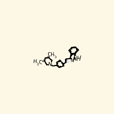 C[C@@H]1C[C@H](C)CN(Cc2ccc(/C=C/c3n[nH]c4ccccc34)cc2)C1